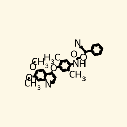 COc1cc2nccc(Oc3cc(C)c(NC(=O)OC(C#N)c4ccccc4)cc3C)c2cc1OC